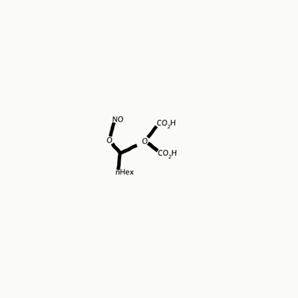 CCCCCCC(C)ON=O.O=C(O)OC(=O)O